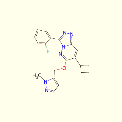 Cn1nccc1COc1nn2c(-c3ccccc3F)nnc2cc1C1CCC1